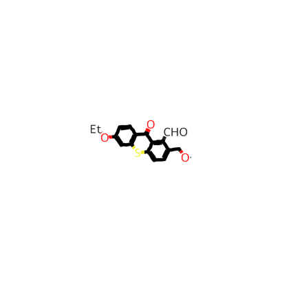 CCOc1ccc2c(=O)c3c(C=O)c(C[O])ccc3sc2c1